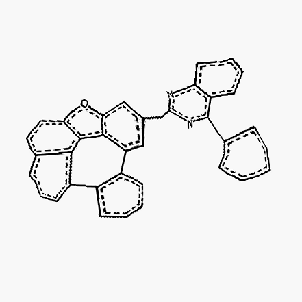 c1ccc(-c2nc(-c3cc4c5c(c3)oc3ccc6cccc(c6c35)-c3ccccc3-4)nc3ccccc23)cc1